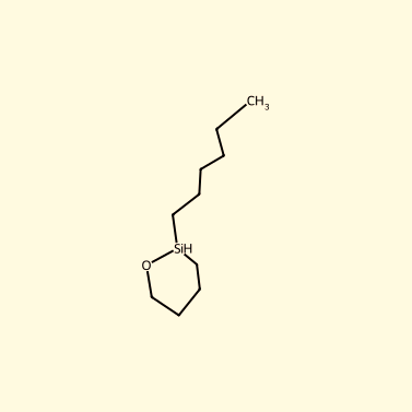 CCCCCC[SiH]1CCCCO1